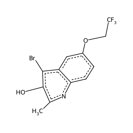 Cc1nc2ccc(OCC(F)(F)F)cc2c(Br)c1O